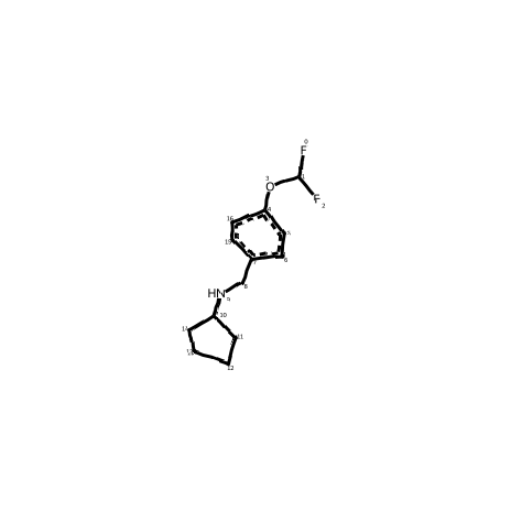 FC(F)Oc1ccc(CNC2CCCC2)cc1